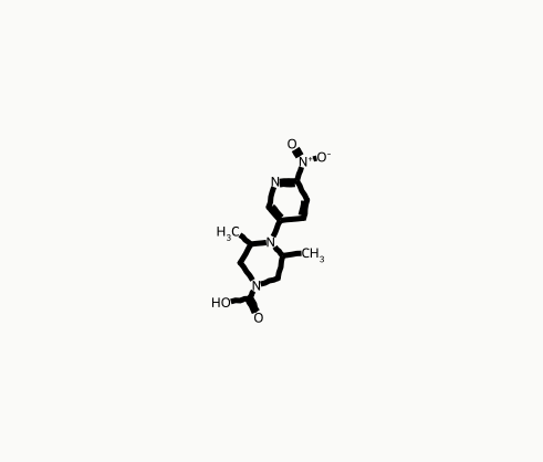 CC1CN(C(=O)O)CC(C)N1c1ccc([N+](=O)[O-])nc1